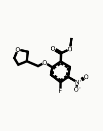 COC(=O)c1cc([N+](=O)[O-])c(F)cc1OCC1CCOC1